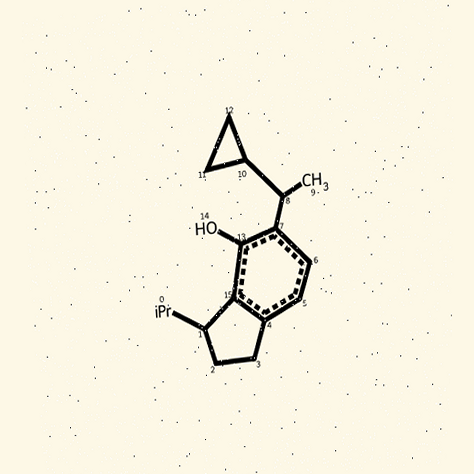 CC(C)C1CCc2ccc(C(C)C3CC3)c(O)c21